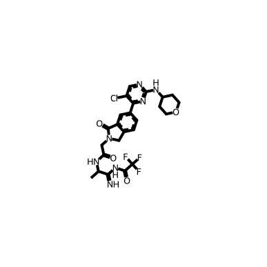 CC(NC(=O)CN1Cc2ccc(-c3nc(NC4CCOCC4)ncc3Cl)cc2C1=O)C(=N)NC(=O)C(F)(F)F